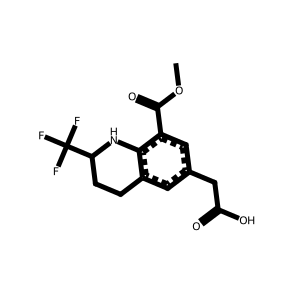 COC(=O)c1cc(CC(=O)O)cc2c1NC(C(F)(F)F)CC2